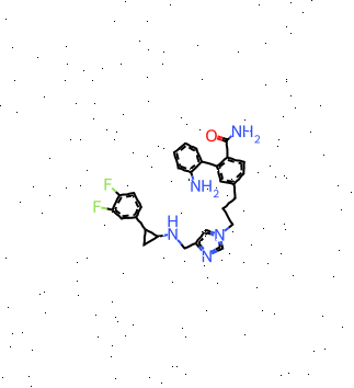 NC(=O)c1ccc(CCCn2cnc(CNC3CC3c3ccc(F)c(F)c3)c2)cc1-c1ccccc1N